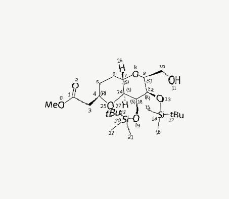 COC(=O)C[C@H]1CC[C@@H]2O[C@@H](CO)[C@@H](O[Si](C)(C)C(C)(C)C)[C@@H](O[Si](C)(C)C(C)(C)C)[C@H]2O1